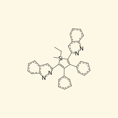 CC[Si]1(C)C(c2cc3ccccc3nn2)=C(c2ccccc2)C(c2ccccc2)=C1c1cc2ccccc2nn1